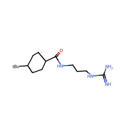 CC(C)(C)C1CCC(C(=O)NCCCNC(=N)N)CC1